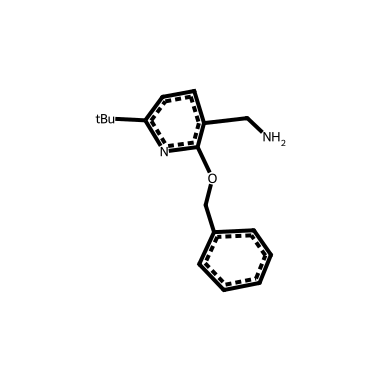 CC(C)(C)c1ccc(CN)c(OCc2ccccc2)n1